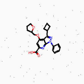 O=C(O)c1cc(OCC2CCCO2)c2c(C3CCC3)nn(-c3ccccc3)c2n1